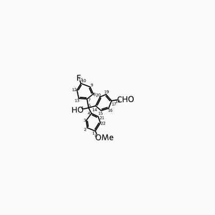 COc1ccc(C(O)(c2ccc(F)cc2)c2ccc(C=O)cc2)cc1